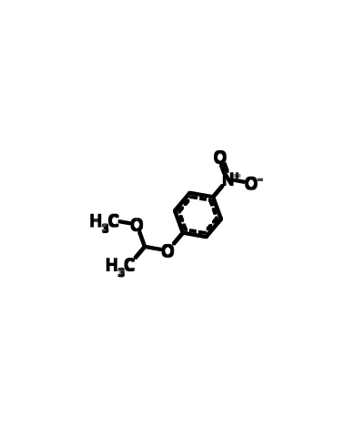 COC(C)Oc1ccc([N+](=O)[O-])cc1